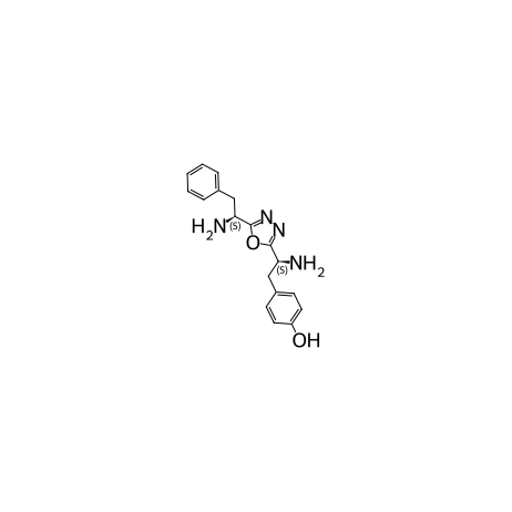 N[C@@H](Cc1ccccc1)c1nnc([C@@H](N)Cc2ccc(O)cc2)o1